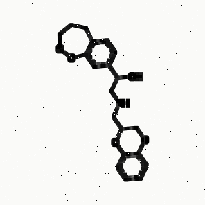 OC(CNCC1COc2ccccc2O1)c1ccc2c(c1)OOCCC2